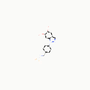 COc1cc2cnn(-c3ccc(CN[SH](=O)=O)cc3)c2cc1OC